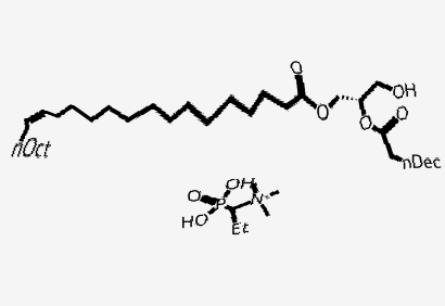 CCC([N+](C)(C)C)P(=O)(O)O.CCCCCCCC/C=C\CCCCCCCCCCCCCC(=O)OC[C@H](CO)OC(=O)CCCCCCCCCCC